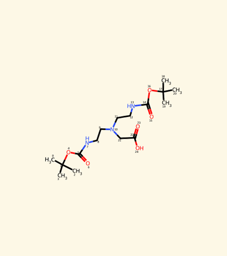 CC(C)(C)OC(=O)NCCN(CCNC(=O)OC(C)(C)C)CC(=O)O